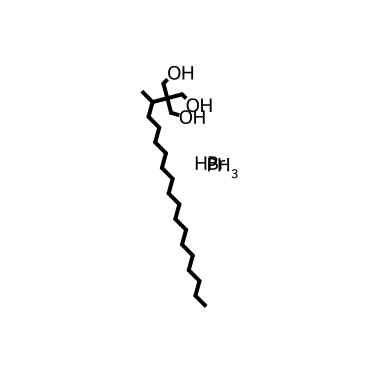 Br.CCCCCCCCCCCCCCCCC(C)C(CO)(CO)CO.P